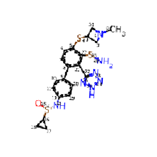 CN1CC(Sc2ccc(-c3ccc(N[S+]([O-])C4CC4)cc3)c(-c3nn[nH]n3)c2SN)C1